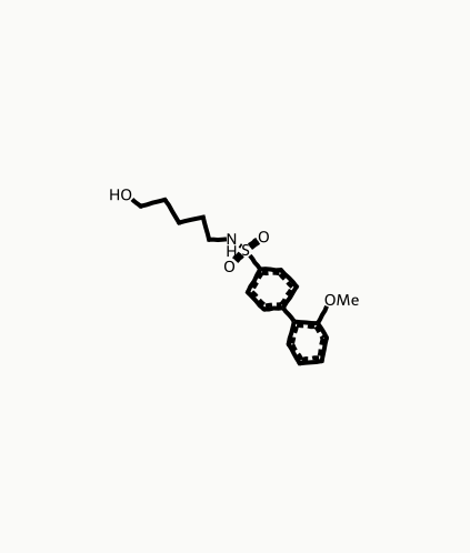 COc1ccccc1-c1ccc(S(=O)(=O)NCCCCCO)cc1